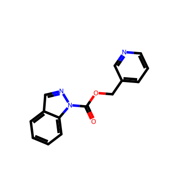 O=C(OCc1cccnc1)n1ncc2ccccc21